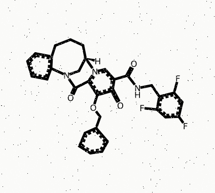 O=C(NCc1c(F)cc(F)cc1F)c1cn2c(c(OCc3ccccc3)c1=O)C(=O)N1C[C@@H]2CCCc2ccccc21